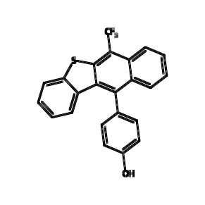 Oc1ccc(-c2c3ccccc3c(C(F)(F)F)c3sc4ccccc4c23)cc1